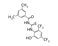 Cc1cc(C)cc(C(=O)NC(=S)Nc2c(O)cc(C(F)(F)F)cc2C(F)(F)F)c1